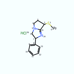 CC(C)SC1CCN2CC(c3ccccc3)N=C12.Cl